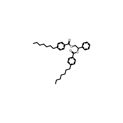 CCCCCCCc1ccc(C(=O)OCC(OC(=O)c2ccc(CCCCCCC)cc2)c2ccccc2)cc1